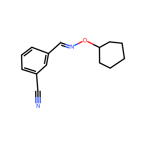 N#Cc1cccc(/[C]=N/OC2CCCCC2)c1